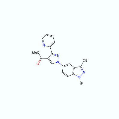 COC(=O)c1cn(-c2ccc3c(c2)c(C#N)nn3C(C)C)nc1-c1ccccn1